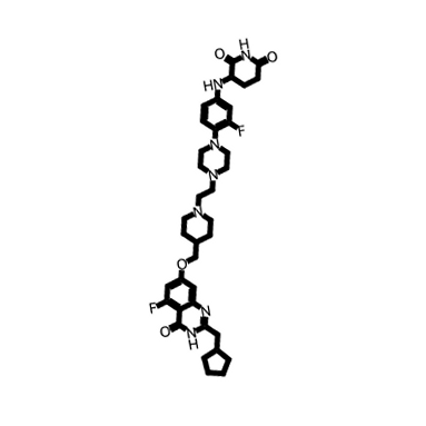 O=C1CCC(Nc2ccc(N3CCN(CCN4CCC(COc5cc(F)c6c(=O)[nH]c(CC7CCCC7)nc6c5)CC4)CC3)c(F)c2)C(=O)N1